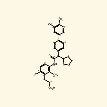 Cc1ncc(-c2ccc(C(C(=O)Nc3ccc(F)c(CCC(=O)O)c3C)C3CCCC3)cc2)cc1Cl